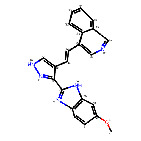 COc1ccc2nc(-c3n[nH]cc3/C=C/c3cncc4ccccc34)[nH]c2c1